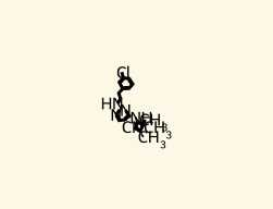 C[C@H]1C[C@@H](Nc2nc(NCCc3cccc(Cl)c3)ncc2C#N)C1(C)C